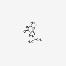 CC(C)n1cc2nc(N)[nH]c(=O)c2n1